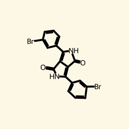 O=C1NC(c2cccc(Br)c2)=C2C(=O)NC(c3cccc(Br)c3)=C12